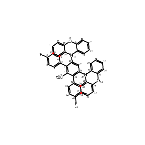 CC(C)(C)c1c(-c2ccc(F)cc2)c(N2c3ccccc3Oc3ccccc32)cc(N2c3ccccc3Oc3ccccc32)c1-c1ccc(F)cc1